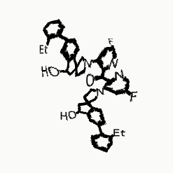 CCc1ccccc1-c1ccc2c(c1)C(O)CC21CCN(c2cc(F)cnc2C(=O)c2ncc(F)cc2N2CCC3(CC(O)c4cc(-c5ccccc5CC)ccc43)C2)C1